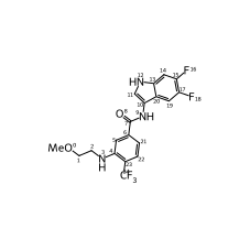 COCCNc1cc(C(=O)Nc2c[nH]c3cc(F)c(F)cc23)ccc1C(F)(F)F